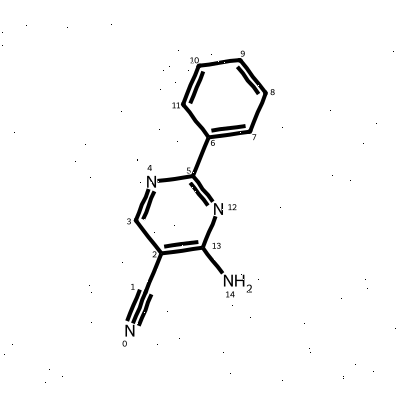 N#Cc1cnc(-c2ccccc2)nc1N